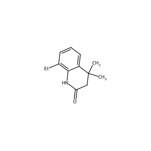 CCc1cccc2c1NC(=O)CC2(C)C